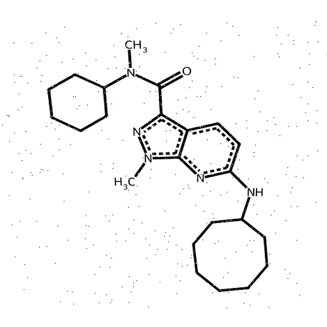 CN(C(=O)c1nn(C)c2nc(NC3CCCCCCC3)ccc12)C1CCCCC1